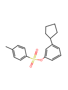 Cc1ccc(S(=O)(=O)Oc2cccc(C3CCCC3)c2)cc1